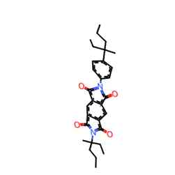 CCCC(C)(CC)c1ccc(-n2c(=O)c3cc4c(=O)n(C(C)(CC)CCC)c(=O)c4cc3c2=O)cc1